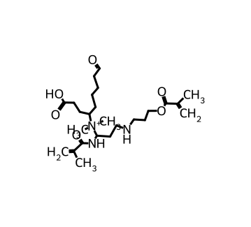 C=C(C)C(=O)NC(CCNCCCOC(=O)C(=C)C)[N+](C)(C)C(CCCCC=O)CCC(=O)O